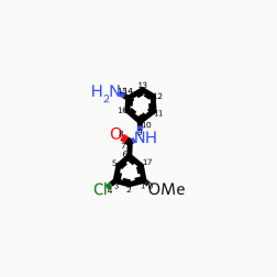 COc1cc(Cl)cc(C(=O)Nc2cccc(N)c2)c1